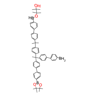 Bc1ccc(-c2ccc(C(C)(c3ccc(-c4ccc(B5OC(C)(C)C(C)(C)O5)cc4)cc3)c3ccc(C(C)(C)c4ccc(-c5ccc(BOC(C)(C)C(C)(C)O)cc5)cc4)cc3)cc2)cc1